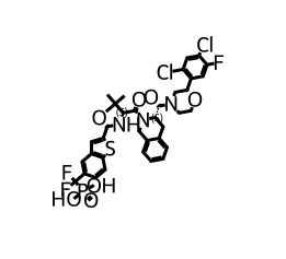 CC(C)(C)[C@H](NC(=O)c1cc2cc(C(F)(F)P(=O)(O)O)ccc2s1)C(=O)N1Cc2ccccc2C[C@H]1C(=O)N1CCOC(c2cc(F)c(Cl)cc2Cl)C1